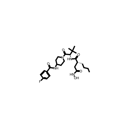 CCCC[C@H](CC(=O)NO)C(=O)N[C@H](C(=O)N1CCC(NC(=O)c2ccc(F)cc2)CC1)C(C)(C)C